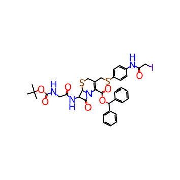 CC(C)(C)OC(=O)NCC(=O)NC1C(=O)N2C(C(=O)OC(c3ccccc3)c3ccccc3)=C(CSc3ccc(NC(=O)CI)cc3)CSC12